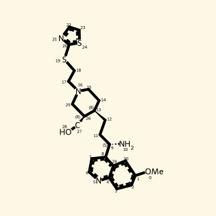 COc1ccc2nccc([C@@H](N)CC[C@@H]3CCN(CCSc4nccs4)C[C@@H]3CO)c2c1